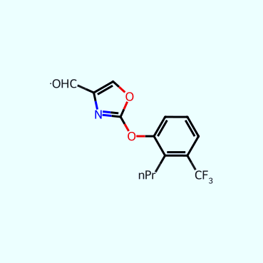 CCCc1c(Oc2nc([C]=O)co2)cccc1C(F)(F)F